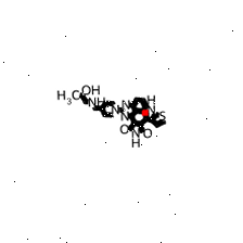 CC(O)CNCC1CCN(c2nc(C3=C(c4c[nH]c5sccc45)C(=O)NC3=O)c3ccccc3n2)CC1